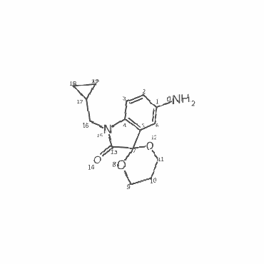 Nc1ccc2c(c1)C1(OCCCO1)C(=O)N2CC1CC1